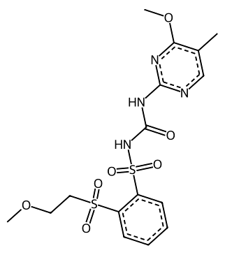 COCCS(=O)(=O)c1ccccc1S(=O)(=O)NC(=O)Nc1ncc(C)c(OC)n1